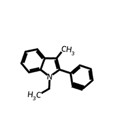 CCn1c(-c2c#cccc2)c(C)c2ccccc21